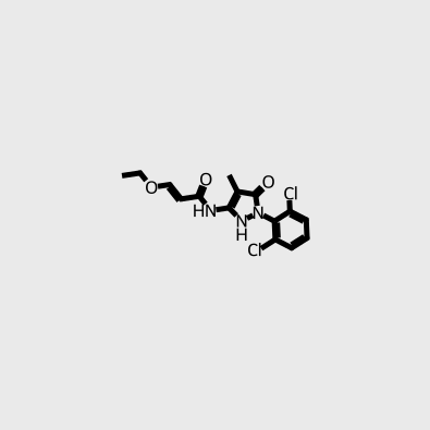 CCOC=CC(=O)Nc1[nH]n(-c2c(Cl)cccc2Cl)c(=O)c1C